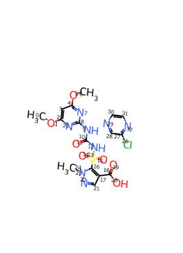 COc1cc(OC)nc(NC(=O)NS(=O)(=O)c2c(C(=O)O)cnn2C)n1.Clc1cnccn1